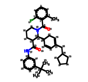 Cc1cccc(F)c1C(=O)N1CCCC(C(=O)Nc2cccc(C(C)(C)C)c2)[C@@H]1C1C=CC(CC2CCCC2)=CC1